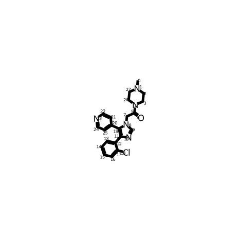 CN1CCN(C(=O)Cn2cnc(-c3ccccc3Cl)c2-c2ccncc2)CC1